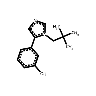 CC(C)(C)Cn1cncc1-c1cccc(O)c1